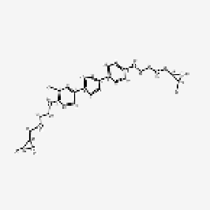 Cc1cc(-c2ccc(-c3ccc(OCCOCC4OC4C)cc3)cc2)ccc1OCCOCC1OC1C